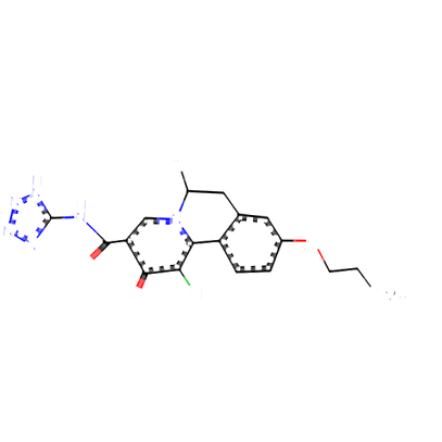 COCCOc1ccc2c(c1)CC(C(C)C)n1cc(C(=O)Nc3nnn[nH]3)c(=O)c(Cl)c1-2